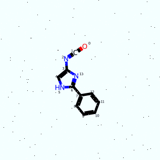 O=C=Nc1c[nH]c(-c2ccccc2)n1